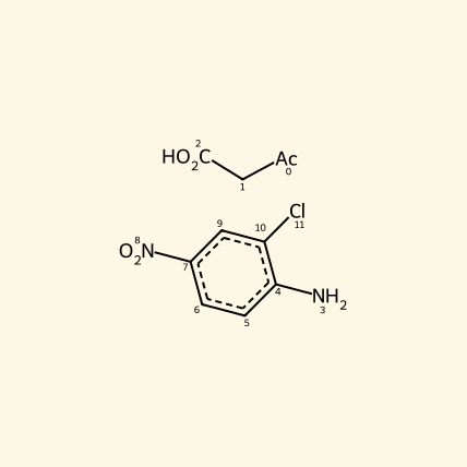 CC(=O)CC(=O)O.Nc1ccc([N+](=O)[O-])cc1Cl